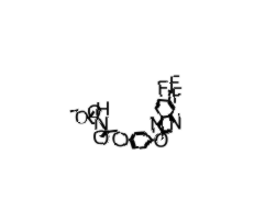 CCOC(=O)CNC(=O)COc1ccc(Oc2cnc3cc(C(F)(F)F)ccc3n2)cc1